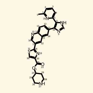 Cc1cccc(-c2[nH]cnc2-c2ccc3ncc(-c4nc(C(=O)OC5CCNCC5)cs4)cc3c2)n1